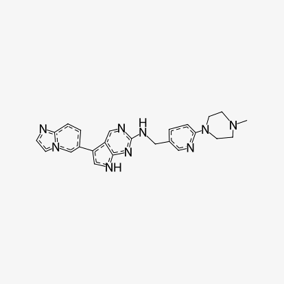 CN1CCN(c2ccc(CNc3ncc4c(-c5ccc6nccn6c5)c[nH]c4n3)cn2)CC1